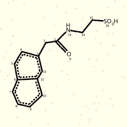 O=C(Cc1ccc2ccccc2c1)NCCS(=O)(=O)O